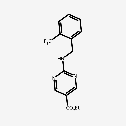 CCOC(=O)c1cnc(NCc2ccccc2C(F)(F)F)nc1